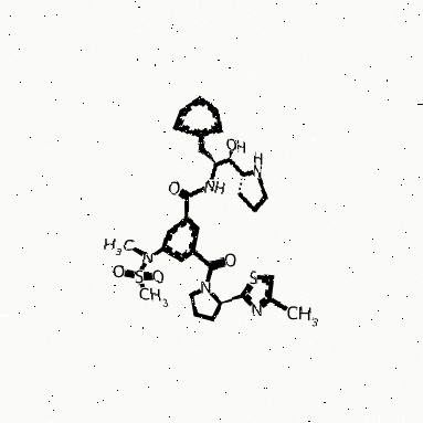 Cc1csc([C@H]2CCCN2C(=O)c2cc(C(=O)N[C@@H](Cc3ccccc3)[C@@H](O)[C@H]3CCCN3)cc(N(C)S(C)(=O)=O)c2)n1